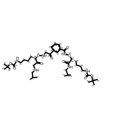 CC(C)CNCC(=O)[C@@H](CCCCNC(=O)OC(C)(C)C)ONCC(=O)c1cccc(C(=O)NO[C@H](CCCCNC(=O)OC(C)(C)C)C(=O)NCC(C)C)c1